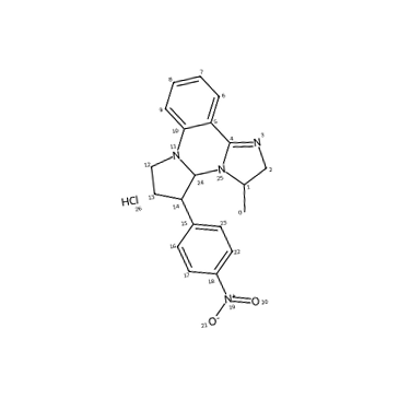 CC1CN=C2c3ccccc3N3CCC(c4ccc([N+](=O)[O-])cc4)C3N21.Cl